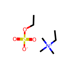 CCOS(=O)(=O)[O-].CC[N+](C)(C)C